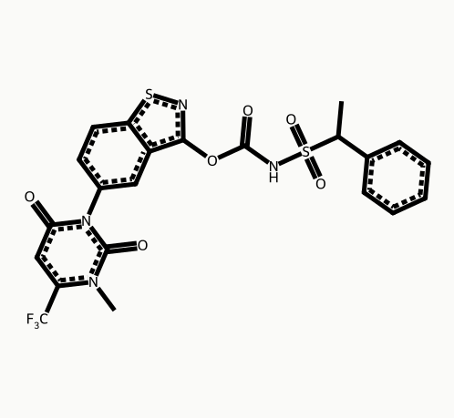 CC(c1ccccc1)S(=O)(=O)NC(=O)Oc1nsc2ccc(-n3c(=O)cc(C(F)(F)F)n(C)c3=O)cc12